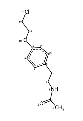 CC(=O)NCCc1ccc(OCCCl)cc1